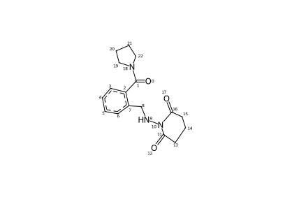 O=C(c1ccccc1CNN1C(=O)CCCC1=O)N1CCCC1